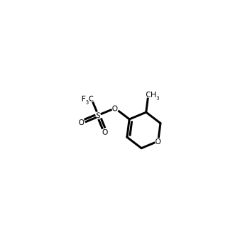 CC1COCC=C1OS(=O)(=O)C(F)(F)F